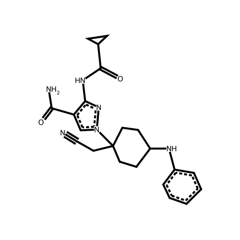 N#CCC1(n2cc(C(N)=O)c(NC(=O)C3CC3)n2)CCC(Nc2ccccc2)CC1